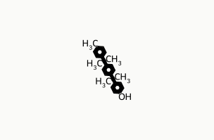 Cc1ccc(C(C)(C)c2ccc(C(C)(C)c3ccc(O)cc3)cc2)cc1